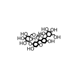 O=c1c2cc(O[C@@H]3O[C@H](CO)[C@@H](O)[C@H](O)[C@H]3O)c(O)cc2oc2cc(O)c(C3C[C@H](CO)[C@@H](O)[C@H](O)[C@H]3O)c(O)c12